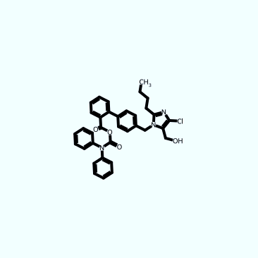 CCCCc1nc(Cl)c(CO)n1Cc1ccc(-c2ccccc2C(=O)OC(=O)N(c2ccccc2)c2ccccc2)cc1